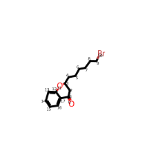 O=C1CC(CCCCCCBr)Oc2ccccc21